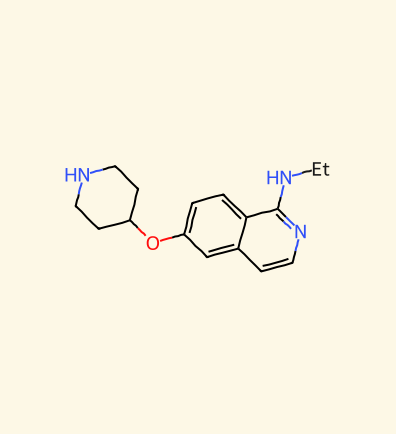 CCNc1nccc2cc(OC3CCNCC3)ccc12